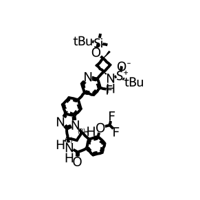 CC(C)(C)[S+]([O-])N[C@]1(c2ncc(-c3ccc4nc5n(c4c3)[C@@H]3C[C@H]5NC(=O)c4cccc(OC(F)F)c43)cc2F)C[C@](C)(O[Si](C)(C)C(C)(C)C)C1